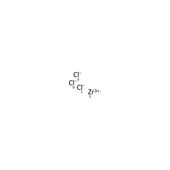 [Cl-].[Cl-].[Cl-].[Zr+3]